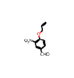 C=CCOc1ccc(C=O)cc1[N+](=O)[O-]